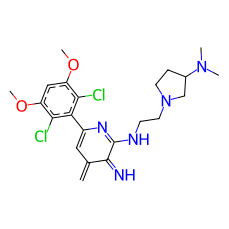 C=C1C=C(c2c(Cl)c(OC)cc(OC)c2Cl)N=C(NCCN2CCC(N(C)C)C2)C1=N